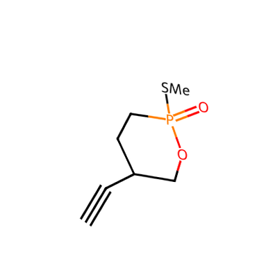 C#CC1CCP(=O)(SC)OC1